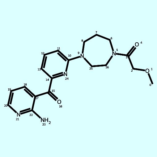 COCC(=O)N1CCCN(c2cccc(C(=O)c3cccnc3N)n2)CC1